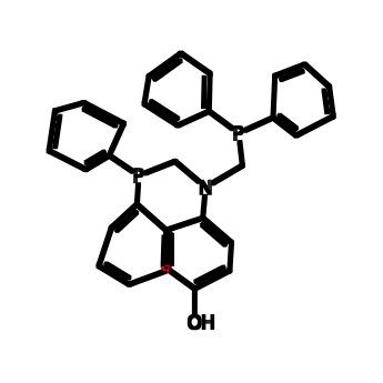 Oc1ccc(N(CP(c2ccccc2)c2ccccc2)CP(c2ccccc2)c2ccccc2)cc1